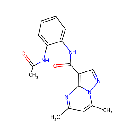 CC(=O)Nc1ccccc1NC(=O)c1cnn2c(C)cc(C)nc12